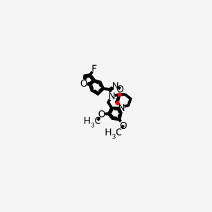 COc1ccc(CN2C(c3ccc4occ(F)c4c3)=NOC23CN2CCC3CC2)c(OC)c1